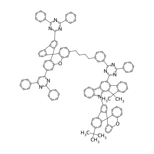 CC(C)(C)c1ccc2c(c1)C1(c3ccccc3Oc3ccccc31)c1ccc(-n3c4ccccc4c4cc(-c5nc(-c6ccccc6)nc(-c6cccc(CCCCc7ccc8c(c7)Oc7cc(-c9cc(-c%10ccccc%10)nc(-c%10ccccc%10)n9)ccc7C87c8ccccc8-c8cc(-c9nc(-c%10ccccc%10)nc(-c%10ccccc%10)n9)ccc87)c6)n5)c5c(c43)C(C)(C)c3ccccc3-5)cc1-2